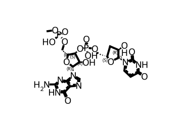 COP(=O)(O)OC[C@H]1O[C@@H](n2cnc3c(=O)[nH]c(N)nc32)[C@H](O)[C@@H]1OP(=O)(O)OC[C@@H]1C[C@@H](O)[C@H](n2ccc(=O)[nH]c2=O)O1